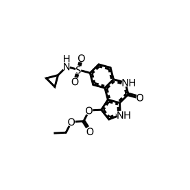 CCOC(=O)Oc1c[nH]c2c(=O)[nH]c3ccc(S(=O)(=O)NC4CC4)cc3c12